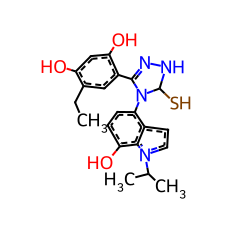 CCc1cc(C2=NNC(S)N2c2ccc(O)c3c2ccn3C(C)C)c(O)cc1O